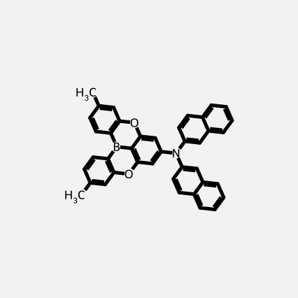 Cc1ccc2c(c1)Oc1cc(N(c3ccc4ccccc4c3)c3ccc4ccccc4c3)cc3c1B2c1ccc(C)cc1O3